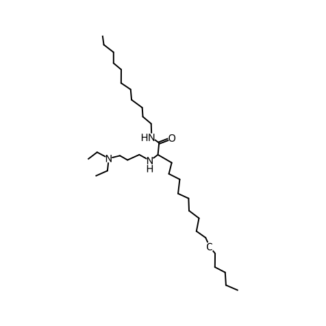 CCCCCCCCCCCCCCCC(NCCCN(CC)CC)C(=O)NCCCCCCCCCCC